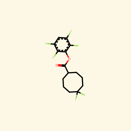 O=C(Oc1c(F)c(F)cc(F)c1F)C1CCCC(F)(F)CCC1